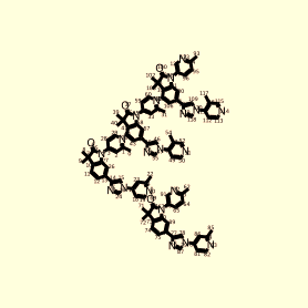 Cc1cc(N2C(=O)C(C)(C)c3ccc(-c4cn(-c5ccnc(C)c5)cn4)cc32)ccn1.Cc1cc(N2C(=O)C(C)(C)c3ccc(-c4cn(-c5ccncc5C)cn4)cc32)ccn1.Cc1ccc(N2C(=O)C(C)(C)c3ccc(-c4cn(-c5ccnc(C)c5)cn4)cc32)cn1.Cc1ccc(N2C(=O)C(C)(C)c3ccc(-c4cn(-c5ccncc5C)cn4)cc32)cn1